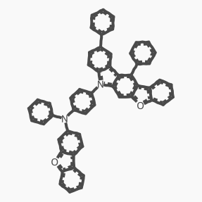 c1ccc(-c2ccc3c(c2)c2c(-c4ccccc4)c4c(cc2n3-c2ccc(N(c3ccccc3)c3ccc5c(c3)oc3ccccc35)cc2)oc2ccccc24)cc1